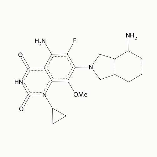 COc1c(N2CC3CCCC(N)C3C2)c(F)c(N)c2c(=O)[nH]c(=O)n(C3CC3)c12